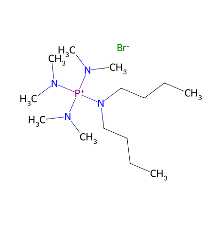 CCCCN(CCCC)[P+](N(C)C)(N(C)C)N(C)C.[Br-]